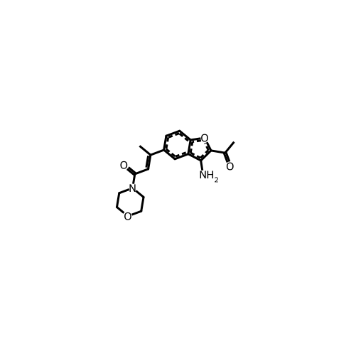 CC(=O)c1oc2ccc(C(C)=CC(=O)N3CCOCC3)cc2c1N